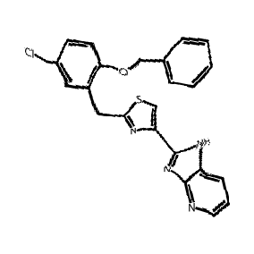 Clc1ccc(OCc2ccccc2)c(Cc2nc(-c3nc4ncccc4[nH]3)cs2)c1